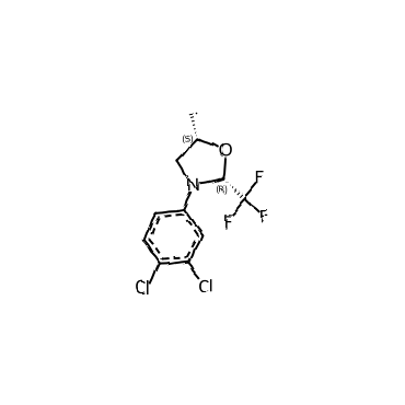 [CH2][C@H]1CN(c2ccc(Cl)c(Cl)c2)[C@@H](C(F)(F)F)O1